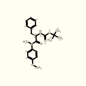 COc1ccc(N(C)C(=O)[C@@H](Cc2ccccc2)NC(=O)OC(C)(C)C)cc1